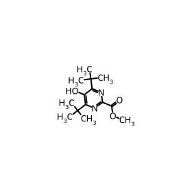 COC(=O)c1nc(C(C)(C)C)c(O)c(C(C)(C)C)n1